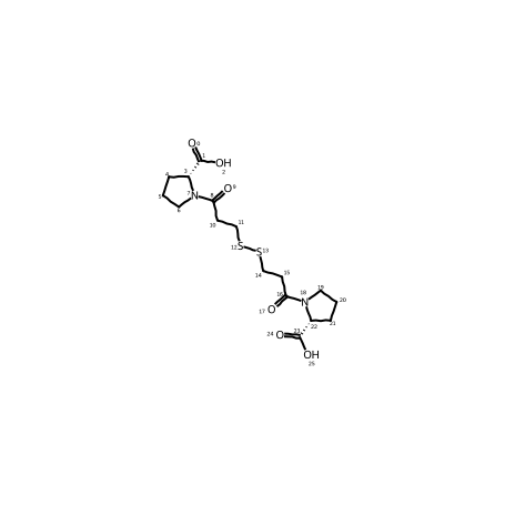 O=C(O)[C@H]1CCCN1C(=O)CCSSCCC(=O)N1CCC[C@@H]1C(=O)O